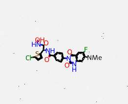 CNc1cc2[nH]c(=O)n(-c3ccc(C(=O)NC(C(=O)NO)c4ccc(Cl)s4)cc3)c(=O)c2cc1F